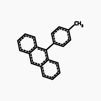 Cc1ccc(-c2c3ccccc3cc3ccccc23)cc1